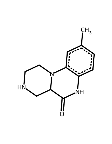 Cc1ccc2c(c1)N1CCNCC1C(=O)N2